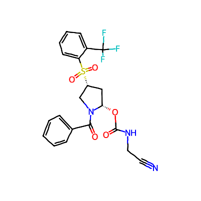 N#CCNC(=O)O[C@H]1C[C@@H](S(=O)(=O)c2ccccc2C(F)(F)F)CN1C(=O)c1ccccc1